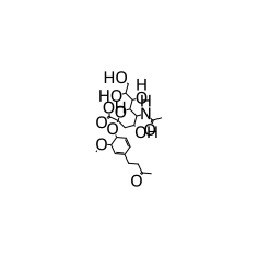 COC1C=C(CCC(C)=O)C=CC1OC1(C(=O)O)CC(O)C(NC(C)=O)C(C(O)C(O)CO)O1